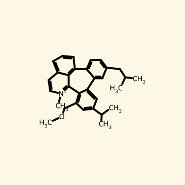 COCc1cc(C(C)C)cc2c1-c1c3c(cccc3cc[n+]1C)-c1ccc(CC(C)C)cc1-2